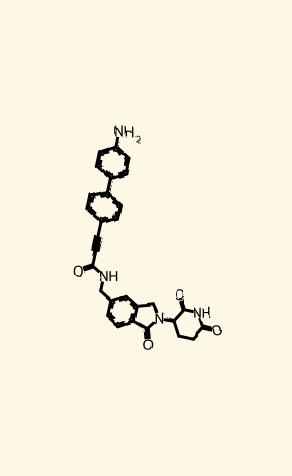 Nc1ccc(-c2ccc(C#CC(=O)NCc3ccc4c(c3)CN(C3CCC(=O)NC3=O)C4=O)cc2)cc1